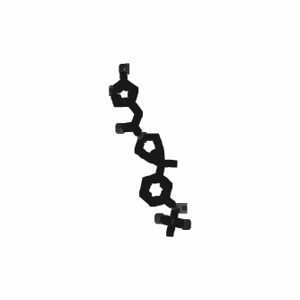 CC1(c2cccc(NS(C)(=O)=O)c2)C2CN(C(=O)Cc3csc(Cl)c3)CC21